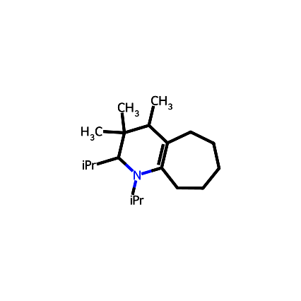 CC(C)C1N(C(C)C)C2=C(CCCCC2)C(C)C1(C)C